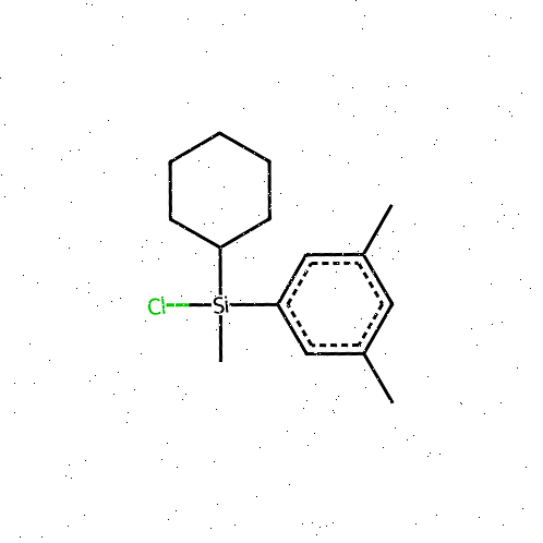 Cc1cc(C)cc([Si](C)(Cl)C2CCCCC2)c1